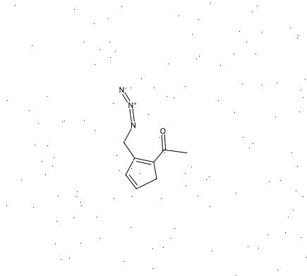 CC(=O)C1=C(CN=[N+]=[N-])C=CC1